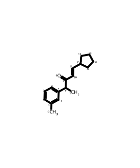 Cc1cccc(C(C)C(=O)/C=C/C2CCCC2)c1